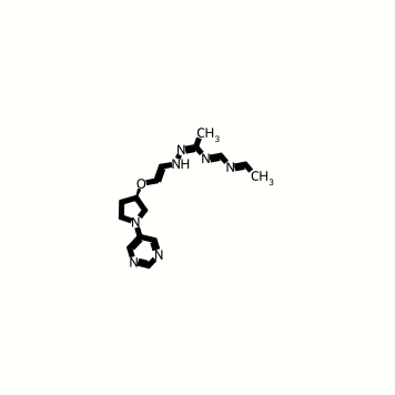 C/C=N/C=N/C(C)=N\N/C=C/O[C@@H]1CCN(c2cncnc2)C1